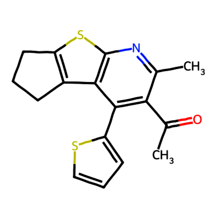 CC(=O)c1c(C)nc2sc3c(c2c1-c1cccs1)CCC3